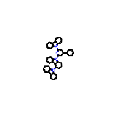 c1ccc(-c2cc(-n3c4ccccc4c4ccccc43)nc(-n3c4ccccc4c4c(-n5c6ccccc6c6ccccc65)cccc43)c2)cc1